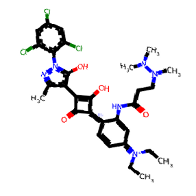 CC[N+](CC)=C1C=C/C(=C2\C(=O)C(c3c(C)nn(-c4c(Cl)cc(Cl)cc4Cl)c3O)=C2O)C(NC(=O)CCN(C)N(C)C)=C1